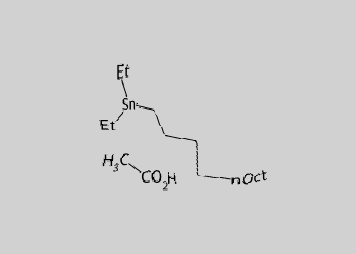 CC(=O)O.CCCCCCCCCCC[CH2][Sn]([CH2]C)[CH2]C